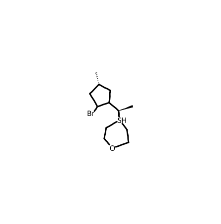 C[C@H]1CC(Br)C([C@@H](C)[SH]2CCOCC2)C1